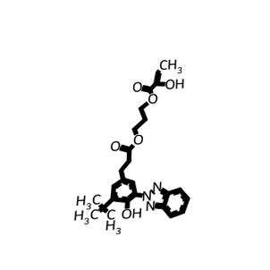 CC=C(O)C(=O)OCCCOC(=O)CCc1cc(-n2nc3ccccc3n2)c(O)c(C(C)(C)C)c1